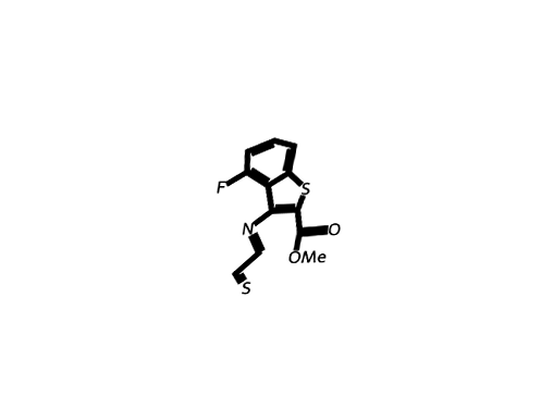 COC(=O)c1sc2cccc(F)c2c1N=CC=S